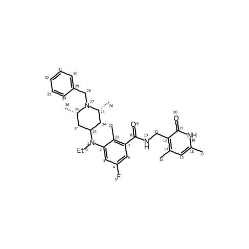 CCN(c1cc(F)cc(C(=O)NCc2c(C)cc(C)[nH]c2=O)c1C)C1C[C@@H](C)N(Cc2ccccc2)[C@@H](C)C1